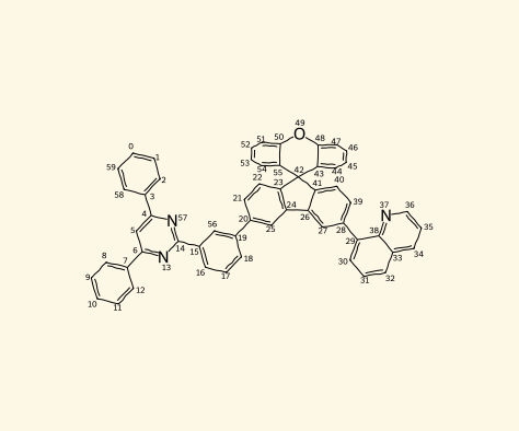 c1ccc(-c2cc(-c3ccccc3)nc(-c3cccc(-c4ccc5c(c4)-c4cc(-c6cccc7cccnc67)ccc4C54c5ccccc5Oc5ccccc54)c3)n2)cc1